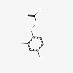 CC(C)(C)C(=O)ONc1ccc(O)cc1F